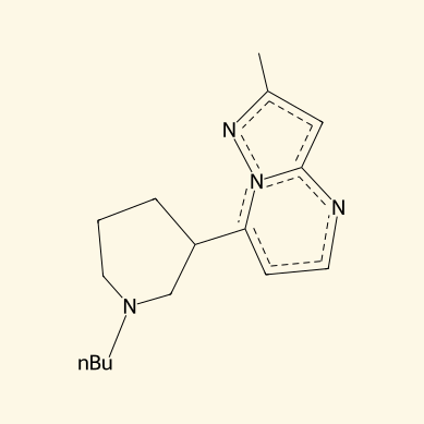 CCCCN1CCCC(c2ccnc3cc(C)nn23)C1